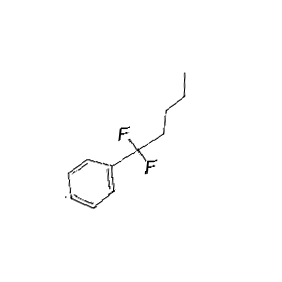 CCCCC(F)(F)c1cc[c]cc1